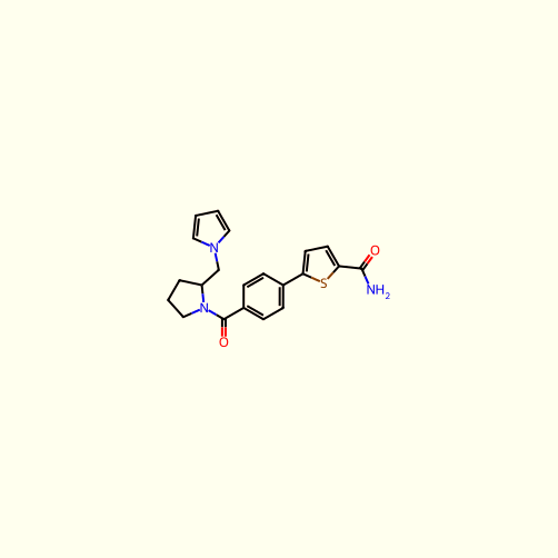 NC(=O)c1ccc(-c2ccc(C(=O)N3CCCC3Cn3cccc3)cc2)s1